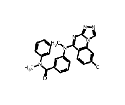 CN(C(=O)c1cccc(N(C)c2nc3nncn3c3cc(Cl)ccc23)c1)c1ccccc1